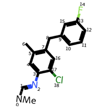 CNC=Nc1cc(C)c(Cc2cccc(F)c2)cc1Cl